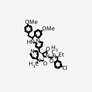 CC[C@H](c1cccc(Cl)c1)N(C)C(=O)N1C(=O)[C@H](Cc2ccnc(NC(Cc3ccc(OC)cc3)c3ccc(OC)cc3)c2)[C@H]1C(=O)N(C)c1ccncc1